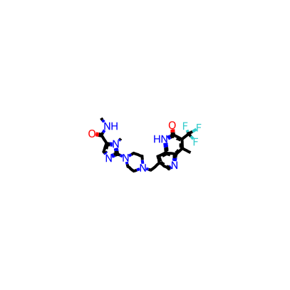 CNC(=O)c1cnc(N2CCN(Cc3cnc4c(C)c(C(F)(F)F)c(=O)[nH]c4c3)CC2)n1C